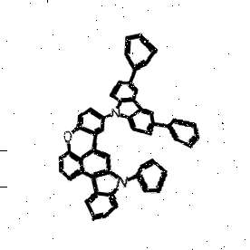 c1ccc(-c2ccc3c(c2)c2cc(-c4ccccc4)ccc2n3-c2ccc3c(c2)-c2cc4c(c5cccc(c25)O3)c2ccccc2n4-c2ccccc2)cc1